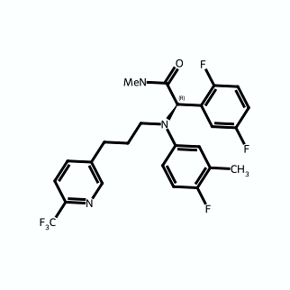 CNC(=O)[C@@H](c1cc(F)ccc1F)N(CCCc1ccc(C(F)(F)F)nc1)c1ccc(F)c(C)c1